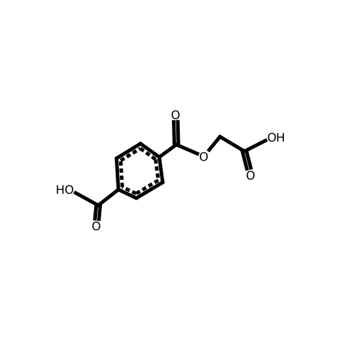 O=C(O)COC(=O)c1ccc(C(=O)O)cc1